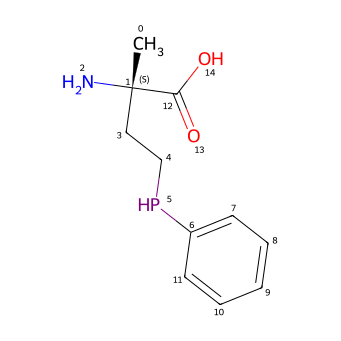 C[C@](N)(CCPc1ccccc1)C(=O)O